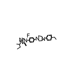 C=C1N(c2ccc(N3CCN(c4ccc(CC)cc4)CC3)cc2F)C=NN1C(C)CC